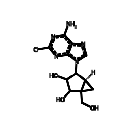 Nc1nc(Cl)nc2c1ncn2C1C(O)C(O)C2(CO)C[C@H]12